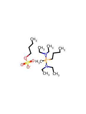 CCCCOS(=O)(=O)[O-].CCCC[P+](C)(N(CC)CC)N(CC)CC